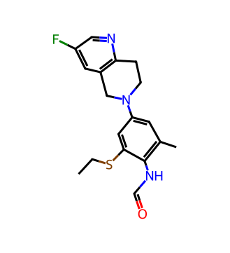 CCSc1cc(N2CCc3ncc(F)cc3C2)cc(C)c1NC=O